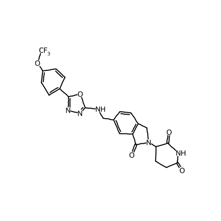 O=C1CCC(N2Cc3ccc(CNc4nnc(-c5ccc(OC(F)(F)F)cc5)o4)cc3C2=O)C(=O)N1